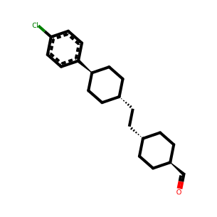 O=C[C@H]1CC[C@H](CC[C@H]2CC[C@H](c3ccc(Cl)cc3)CC2)CC1